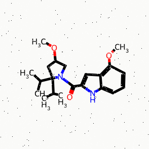 COc1cccc2[nH]c(C(=O)N3CC(OC)CC3(C(C)C)C(C)C)cc12